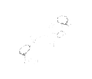 O=C(O)c1cccc(C23CCC(COCc4c(-c5c(Cl)cccc5Cl)noc4C4CC4)(CC2)CO3)c1